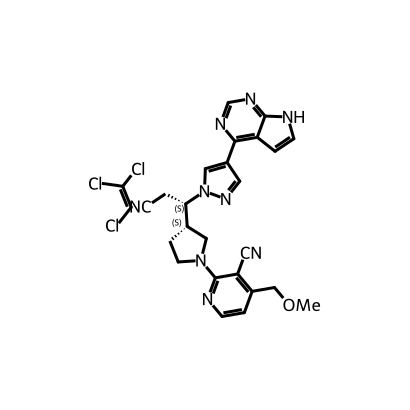 COCc1ccnc(N2CC[C@H]([C@H](CC#N)n3cc(-c4ncnc5[nH]ccc45)cn3)C2)c1C#N.ClC=C(Cl)Cl